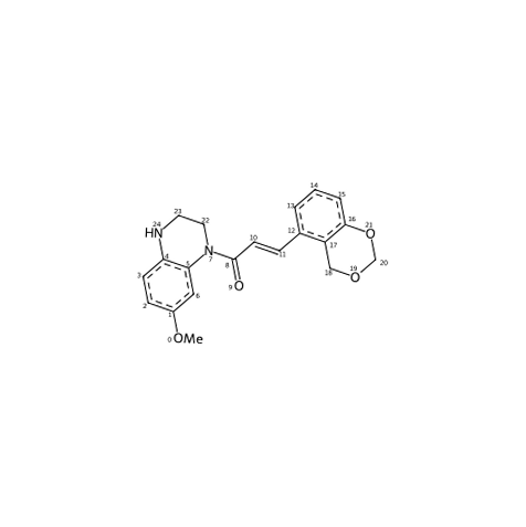 COc1ccc2c(c1)N(C(=O)C=Cc1cccc3c1COCO3)CCN2